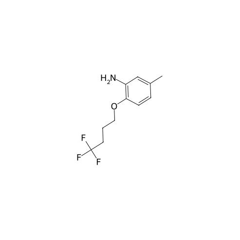 Cc1ccc(OCCCC(F)(F)F)c(N)c1